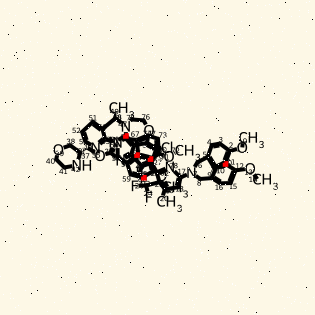 COc1ccc(CN(Cc2ccc(OC)cc2)c2cc(C)c(C(F)(F)F)c(-c3c(Cl)c4c5c(nc(OC[C@H]6COCCN6)nc5c3F)N([C@H](C)c3cccnc3N(Cc3ccc(OC)cc3)Cc3ccc(OC)cc3)CCO4)n2)cc1